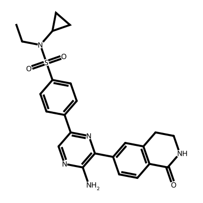 CCN(C1CC1)S(=O)(=O)c1ccc(-c2cnc(N)c(-c3ccc4c(c3)CCNC4=O)n2)cc1